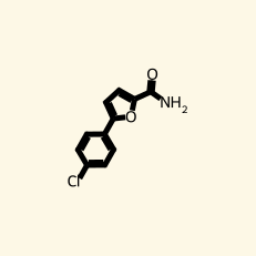 NC(=O)c1ccc(-c2ccc(Cl)cc2)o1